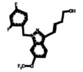 OCCC=Cc1nn(Cc2ccc(F)cc2F)c2cc(OC(F)(F)F)ccc12